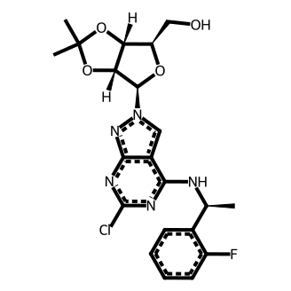 C[C@H](Nc1nc(Cl)nc2nn([C@@H]3O[C@H](CO)[C@H]4OC(C)(C)O[C@H]43)cc12)c1ccccc1F